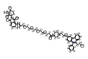 O=C1CCC(N2C(=O)c3cccc(NCCOCCOCCOCCOCCC(=O)N4CCN(CCOc5ccc(/C(=C(/CCCl)c6ccccc6)c6ccccc6)cc5)CC4)c3C2=O)C(=O)N1